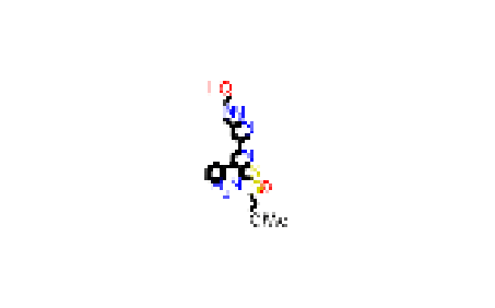 COCCC[S+]([O-])c1sc2nc(-c3cnc4nn(CCO)cc4c3)cc(-c3ccccc3)c2c1N